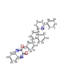 c1ccc(-c2cccc(-c3ccc(-c4ccc5c(c4)Oc4nc6ccccc6nc4O5)c4ccccc34)n2)cc1